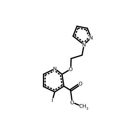 COC(=O)c1c(I)ccnc1OCCn1cccn1